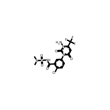 CN(C)S(=O)(=O)NC(=O)c1cc(-n2c(=O)cc(C(F)(F)F)n(N)c2=O)ccc1Cl